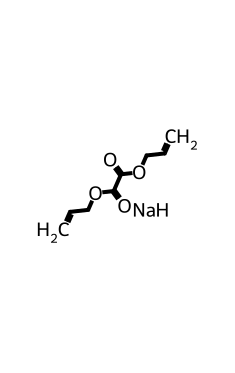 C=CCOC(=O)C(=O)OCC=C.[NaH]